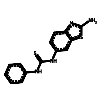 Nc1nc2ccc(NC(=S)Nc3ccccc3)cc2s1